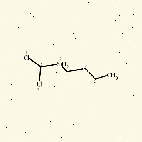 CCCC[SiH2]C(Cl)Cl